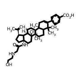 C=C(C)[C@@H]1CC[C@]2(NC(=O)CNCCO)CC[C@]3(C)[C@H](CCC4[C@@]5(C)CC=C(c6ccc(C(=O)O)cc6)C(C)(C)C5CC[C@]43C)C12